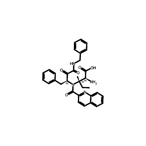 CC[C@@](C)([C@H](N)C(=O)O)N(C(=O)c1ccc2ccccc2n1)[C@@H](Cc1ccccc1)C(=O)C(=O)NCc1ccccc1